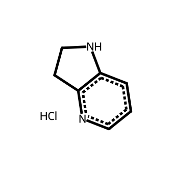 Cl.c1cnc2c(c1)NCC2